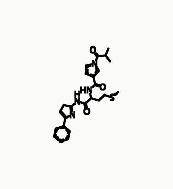 CSCCC(NC(=O)c1ccn(C(=O)C(C)C)c1)C(=O)NC1=NC(c2ccccc2)=CC1